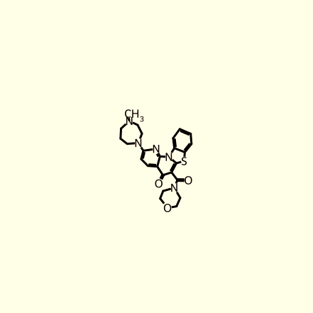 CN1CCCN(c2ccc3c(=O)c(C(=O)N4CCOCC4)c4sc5ccccc5n4c3n2)CC1